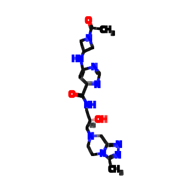 CC(=O)N1CC(Nc2cc(C(=O)NC[C@H](O)CN3CCn4c(C)nnc4C3)ncn2)C1